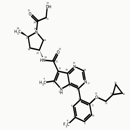 Cc1[nH]c2c(-c3cc(C(F)(F)F)ccc3OCC3CC3)ncnc2c1C(=O)N[C@@H]1C[C@@H](C)N(C(=O)CO)C1